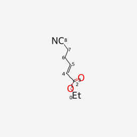 CCOC(=O)C=CCCC#N